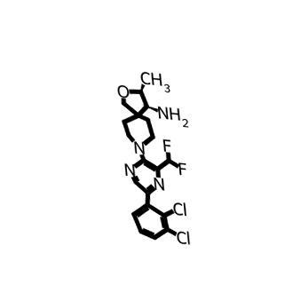 C[C@@H]1OCC2(CCN(c3ncc(-c4cccc(Cl)c4Cl)nc3C(F)F)CC2)[C@@H]1N